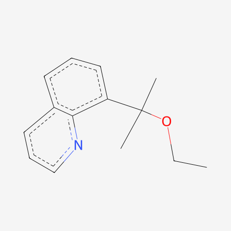 CCOC(C)(C)c1cccc2cccnc12